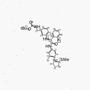 CSC1=[N+](c2ccc(NC(=O)C(Nc3cccc(CNC(=O)OC(C)(C)C)c3)c3ccccc3Cl)cc2C)CCC1